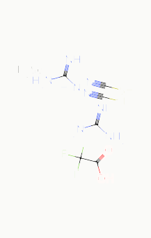 N#CS.N#CS.N=C(N)N.N=C(N)N.O=C(O)C(F)(F)F.[SeH2]